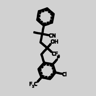 CC(C#N)(CC(O)(Cc1cc(C(F)(F)F)cc(Cl)c1F)C(F)(F)F)c1ccccc1